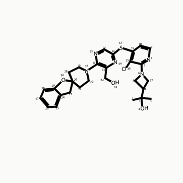 CC(C)(O)C1CN(c2nccc(Sc3cnc(N4CCC5(CC4)Cc4ccccc4O5)c(CO)n3)c2Cl)C1